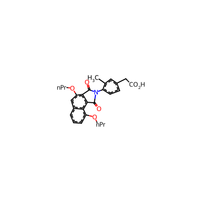 CCCOc1cc2cccc(OCCC)c2c2c1C(=O)N(c1ccc(CC(=O)O)cc1C)C2=O